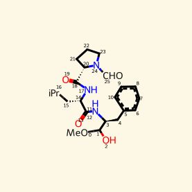 COC(O)[C@H](Cc1ccccc1)NC(=O)[C@H](CC(C)C)NC(=O)[C@@H]1CCCN1C=O